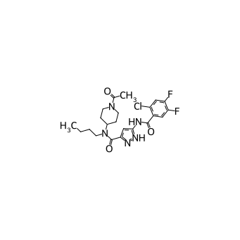 CCCCN(C(=O)c1cc(NC(=O)c2cc(F)c(F)cc2Cl)[nH]n1)C1CCN(C(C)=O)CC1